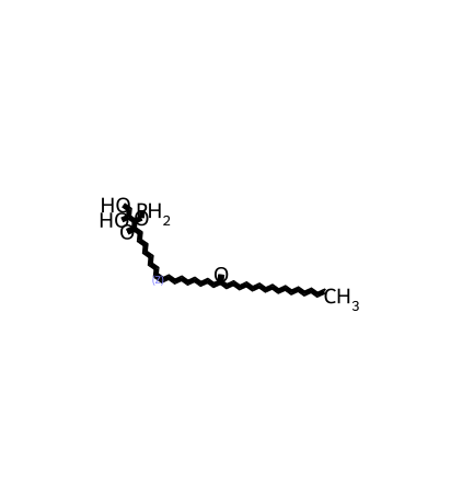 CCCCCCCCCCCCCCCCCC(=O)CCCCCCCC/C=C\CCCCCCCC(=O)C(OP)C(O)CO